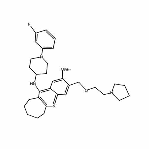 COc1cc2c(NC3CCN(c4cccc(F)c4)CC3)c3c(nc2cc1COCCN1CCCC1)CCCCC3